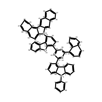 c1ccc(-n2c3ccccc3c3c(-c4nc(-c5cccc6ccccc56)nc(-c5ccc(-n6c7cc8ccccc8cc7c7c8ccccc8ccc76)c6c5oc5ccccc56)n4)cccc32)cc1